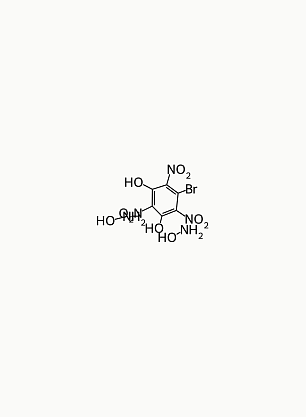 NO.NO.O=[N+]([O-])c1c(O)c([N+](=O)[O-])c(Br)c([N+](=O)[O-])c1O